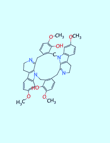 COc1ccc2c3c4n(c2c1)Cc1c(ccc(OC)c1O)CC1=NCCc2c1n(c1cc(OC)ccc21)Cc1c(ccc(OC)c1O)CC4=NCC3